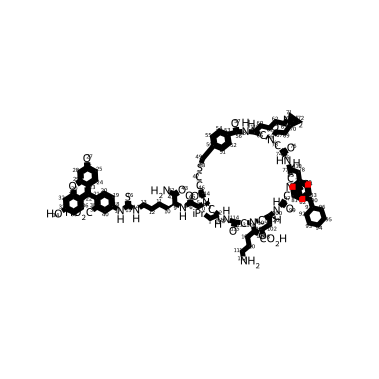 CC(C)C[C@H]1CN(CC(=O)N[C@@H](CCCCNC(=S)Nc2ccc(-c3c4ccc(=O)cc-4oc4cc(O)ccc34)c(C(=O)O)c2)C(N)=O)C(=O)CCSCc2ccc(cc2)C(=O)N[C@@H](CCCCN)CN(C(=O)CC2CC2)CC(=O)N[C@@H](Cc2ccccc2)CN(C(=O)CCC2CCCCC2)CC(=O)N[C@@H](CCC(=O)O)CN(C(=O)CCCN)CC(=O)N1